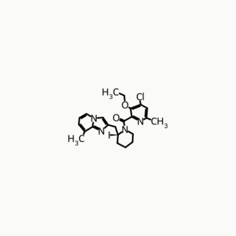 CCOc1c(Cl)cc(C)nc1C(=O)N1CCCC[C@]1(I)Cc1cn2cccc(C)c2n1